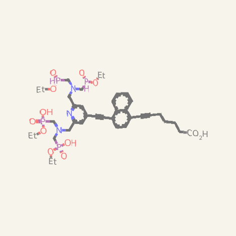 CCO[PH](=O)CN(Cc1cc(C#Cc2ccc(C#CCCCCC(=O)O)c3ccccc23)cc(CN(CP(=O)(O)OCC)CP(=O)(O)OCC)n1)C[PH](=O)OCC